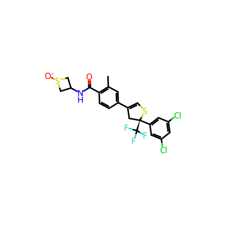 Cc1cc(C2=CS[C@@](c3cc(Cl)cc(Cl)c3)(C(F)(F)F)C2)ccc1C(=O)NC1C[S+]([O-])C1